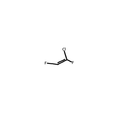 FC=C(F)Cl